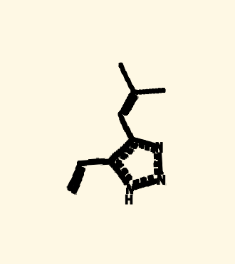 C=Cc1[nH]nnc1C=C(C)C